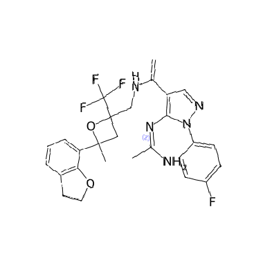 C=C(NCC1(C(F)(F)F)CC(C)(c2cccc3c2OCC3)O1)c1cnn(-c2ccc(F)cc2)c1/N=C(/C)N